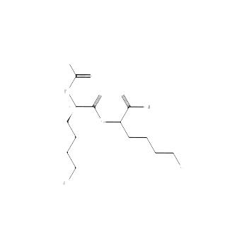 CCC(=O)N[C@H](CCCCNC(C)=O)C(=O)NC(CCCCN)C(N)=O